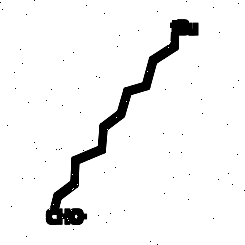 CC(C)(C)CCCCCCCCCC[C]=O